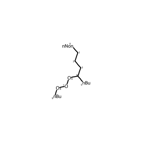 CCCCCCCCCCCCC(CCCC)OOOCCCC